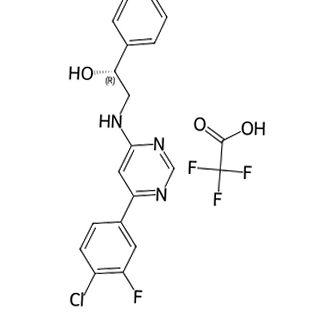 O=C(O)C(F)(F)F.O[C@@H](CNc1cc(-c2ccc(Cl)c(F)c2)ncn1)c1ccccc1